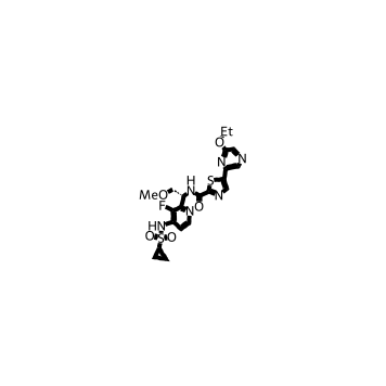 CCOc1cncc(-c2cnc(C(=O)N[C@@H](COC)c3nccc(NS(=O)(=O)C4CC4)c3F)s2)n1